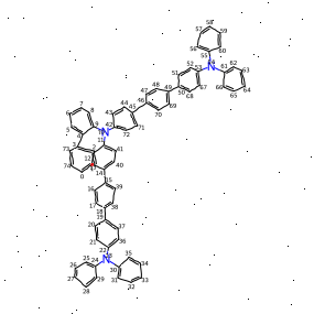 c1ccc(-c2ccccc2N(c2ccc(-c3ccc(-c4ccc(N(c5ccccc5)c5ccccc5)cc4)cc3)cc2)c2ccc(-c3ccc(-c4ccc(N(c5ccccc5)c5ccccc5)cc4)cc3)cc2)cc1